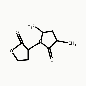 CC1CC(C)N(C2CCOC2=O)C1=O